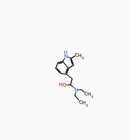 CCN(CC)C(O)Cc1cccc2[nH]c(C)cc12